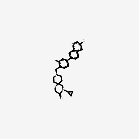 O=C1COC2(CCN(Cc3ccc(-c4ccc5cc(Cl)cnc5c4)cc3F)CC2)CN1C1CC1